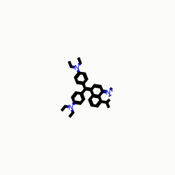 CCN(CC)c1ccc(C(=C2C=CC(=[N+](C)C)c3c2cccc3C(C)C)c2ccc(N(CC)CC)cc2)cc1